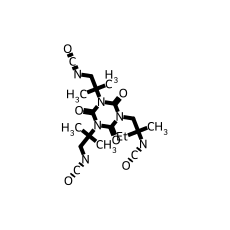 CCC(C)(Cn1c(=O)n(C(C)(C)CN=C=O)c(=O)n(C(C)(C)CN=C=O)c1=O)N=C=O